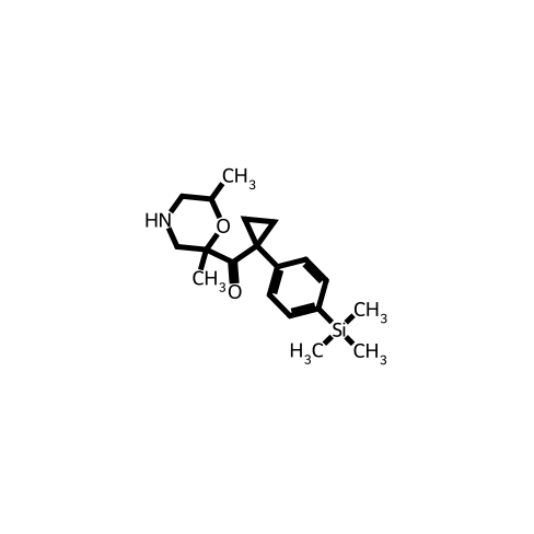 CC1CNCC(C)(C(=O)C2(c3ccc([Si](C)(C)C)cc3)CC2)O1